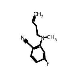 C=CCCN(C)c1cc(F)ccc1C#N